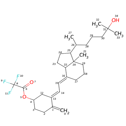 C=C1CCC(OC(=O)C(F)(F)F)CC1=CC=C1CCCC2(C)C1CCC2C(C)CCCC(C)(C)O